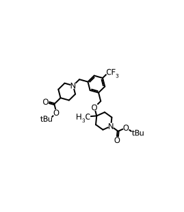 CC(C)(C)OC(=O)C1CCN(Cc2cc(COC3(C)CCN(C(=O)OC(C)(C)C)CC3)cc(C(F)(F)F)c2)CC1